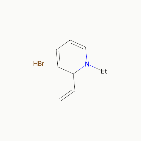 Br.C=CC1C=CC=CN1CC